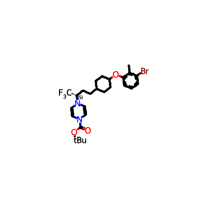 Cc1c(Br)cccc1OC1CCC(CC[C@H](N2C=CN(C(=O)OC(C)(C)C)C=C2)C(F)(F)F)CC1